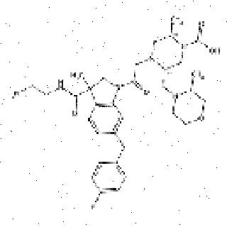 CC1COCCN1C[C@H]1CN(C(=O)O)[C@H](C)CN1CC(=O)N1CC(C)(C(=O)NCCN)c2ccc(Cc3ccc(F)cc3)cc21